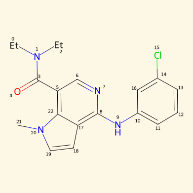 CCN(CC)C(=O)c1cnc(Nc2cccc(Cl)c2)c2ccn(C)c12